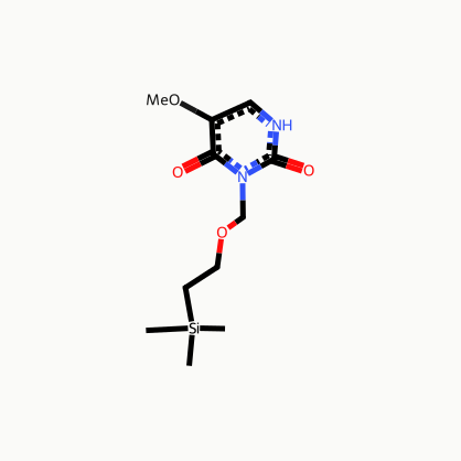 COc1c[nH]c(=O)n(COCC[Si](C)(C)C)c1=O